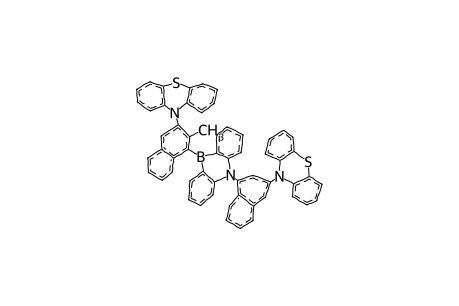 Cc1c(N2c3ccccc3Sc3ccccc32)cc2ccccc2c1B1c2ccccc2N(c2cc(N3c4ccccc4Sc4ccccc43)cc3ccccc23)c2ccccc21